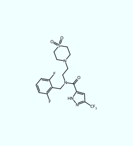 O=C(c1cc(C(F)(F)F)n[nH]1)N(CCN1CCS(=O)(=O)CC1)Cc1c(F)cccc1F